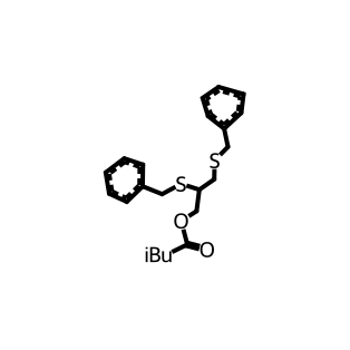 CCC(C)C(=O)OCC(CSCc1ccccc1)SCc1ccccc1